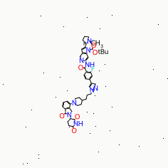 CN1CCC[C@@H]1c1cc2cnc(NC(=O)c3ccc(-c4cnn(CCCC5CCN(c6cccc7c6CN(C6CCC(=O)NC6=O)C7=O)CC5)c4)cc3F)cc2n1C(=O)OC(C)(C)C